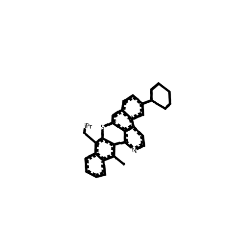 Cc1c2c(c(CC(C)C)c3ccccc13)Sc1cc3ccc(C4CCCCC4)cc3c3ccnc-2c13